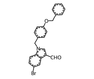 O=Cc1cn(Cc2ccc(OCc3ccccc3)cc2)c2ccc(Br)cc12